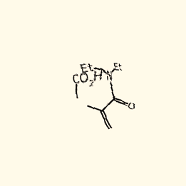 C=C(C)C(=O)N(CC)CC.CC(=O)O